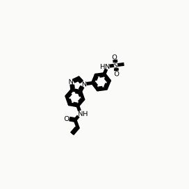 C=CC(=O)Nc1ccc2ncn(-c3cccc(NS(C)(=O)=O)c3)c2c1